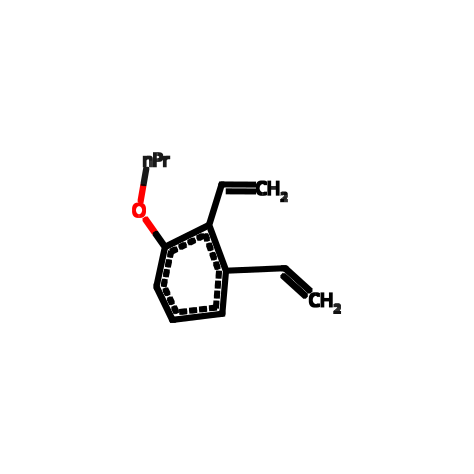 C=Cc1cccc(OCCC)c1C=C